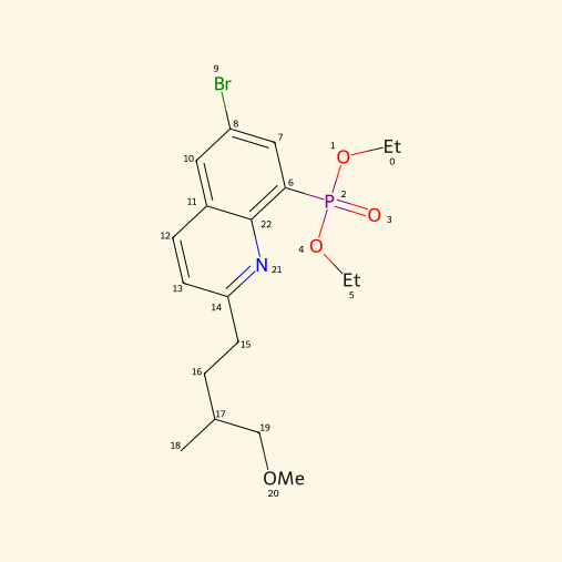 CCOP(=O)(OCC)c1cc(Br)cc2ccc(CCC(C)COC)nc12